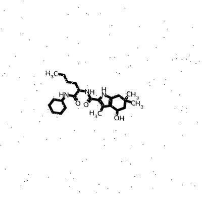 CCCCC(NC(=O)c1[nH]c2c(c1C)C(O)CC(C)(C)C2)C(=O)NC1CCCCC1